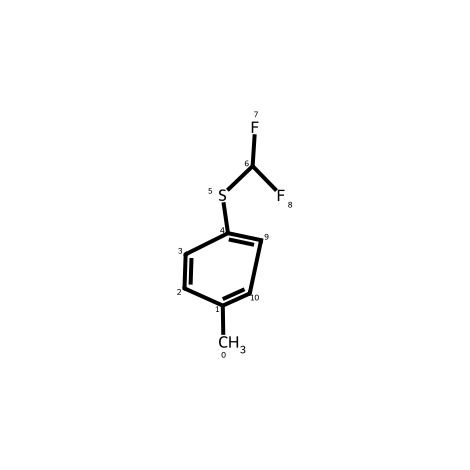 Cc1ccc(SC(F)F)cc1